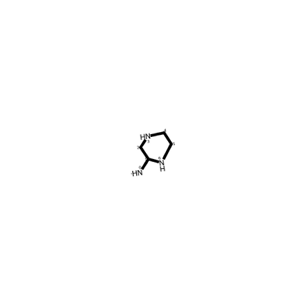 [NH]C1CNCCN1